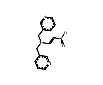 O=[N+]([O-])C=CN(Cc1cccnc1)Cc1cccnc1